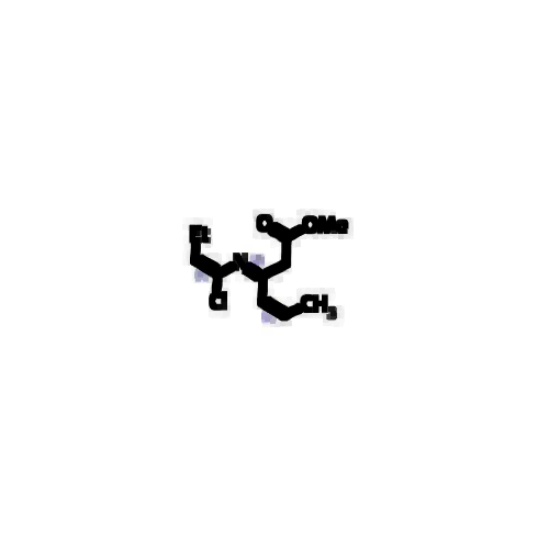 C\C=C/C(CC(=O)OC)=N\C(Cl)=C/CC